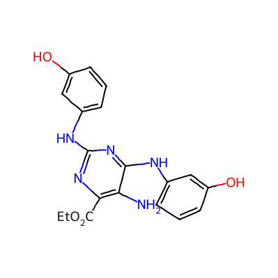 CCOC(=O)c1nc(Nc2cccc(O)c2)nc(Nc2cccc(O)c2)c1N